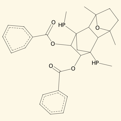 CPC12CC(PC)(C(OC(=O)c3ccccc3)C1OC(=O)c1ccccc1)C1C2C2(C)CCC1(C)O2